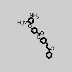 Nc1ccc(Oc2ccc(C(=O)Oc3ccc(/C=C/C(=O)c4ccccc4)cc3)cc2)c(N)c1